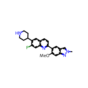 COc1cc2nn(C)cc2cc1-c1ccc2cc(C3CCNCC3)c(F)cc2n1